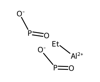 C[CH2][Al+2].O=P[O-].O=P[O-]